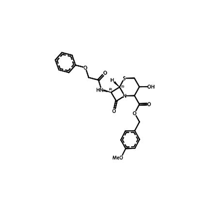 COc1ccc(COC(=O)C2C(O)CS[C@H]3[C@H](NC(=O)COc4ccccc4)C(=O)N23)cc1